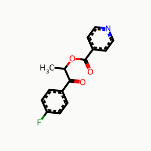 CC(OC(=O)c1ccncc1)C(=O)c1ccc(F)cc1